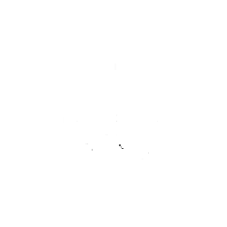 CCC(CC)N[C@@H](C)C(=O)O